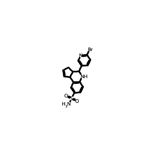 NS(=O)(=O)c1ccc2c(c1)C1C=CCC1C(c1ccc(Br)nc1)N2